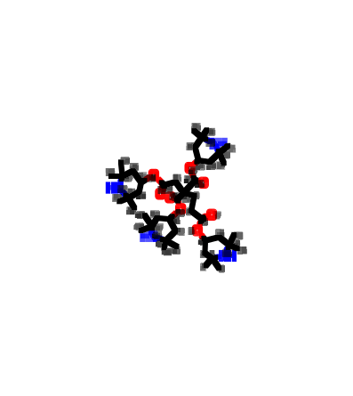 CC1(C)CC(OC(=O)CCC(CC(=O)OC2CC(C)(C)NC(C)(C)C2)(C(=O)OC2CC(C)(C)NC(C)(C)C2)C(=O)OC2CC(C)(C)NC(C)(C)C2)CC(C)(C)N1